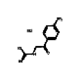 Cl.N=C(S)NCC(=O)c1ccc(N)cc1